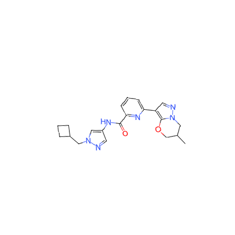 CC1COc2c(-c3cccc(C(=O)Nc4cnn(CC5CCC5)c4)n3)cnn2C1